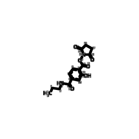 CCCNC(=O)c1ccc(C(=O)ON2C(=O)CCC2=O)c(O)c1